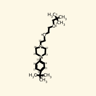 CC(C)(C)COCCOCCN1CCN(c2ccc(C(C)(C)C)cc2)CC1